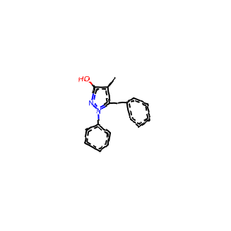 Cc1c(O)nn(-c2ccccc2)c1-c1ccccc1